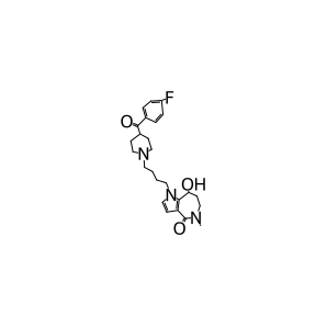 CN1CCC(O)c2c(ccn2CCCCN2CCC(C(=O)c3ccc(F)cc3)CC2)C1=O